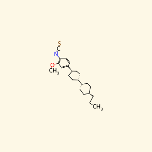 CCC[C@H]1CC[C@H]([C@H]2CC[C@H](c3ccc(N=C=S)c(OC)c3)CC2)CC1